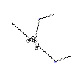 CCCCCCCC/C=C\CCCCCCCCCCCC(=O)OC[C@H](COC(=O)CCCCCCCCCCCCC)OC(=O)CCCCCCCCC/C=C\CCCCCCCC